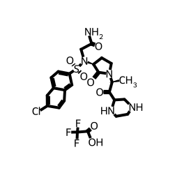 C[C@@H](C(=O)C1CNCCN1)N1CC[C@H](N(CC(N)=O)S(=O)(=O)c2ccc3cc(Cl)ccc3c2)C1=O.O=C(O)C(F)(F)F